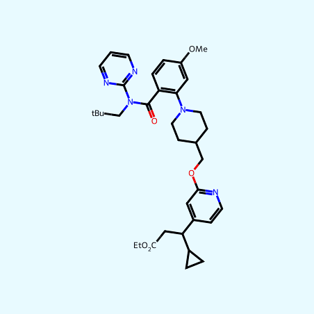 CCOC(=O)CC(c1ccnc(OCC2CCN(c3cc(OC)ccc3C(=O)N(CC(C)(C)C)c3ncccn3)CC2)c1)C1CC1